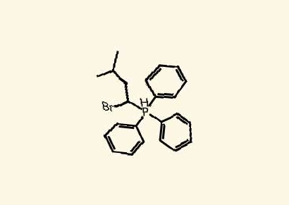 CC(C)CC(Br)[PH](c1ccccc1)(c1ccccc1)c1ccccc1